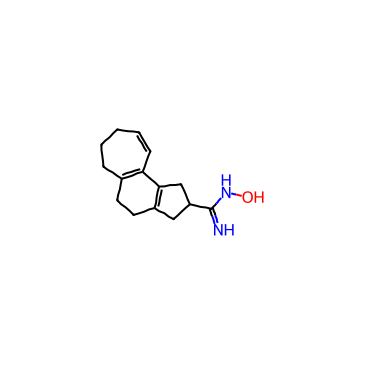 N=C(NO)C1CC2=C(C1)C1=C(CCCC=C1)CC2